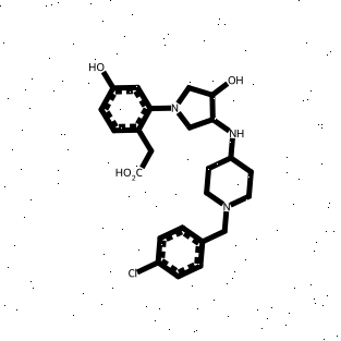 O=C(O)Cc1ccc(O)cc1N1CC(O)C(NC2CCN(Cc3ccc(Cl)cc3)CC2)C1